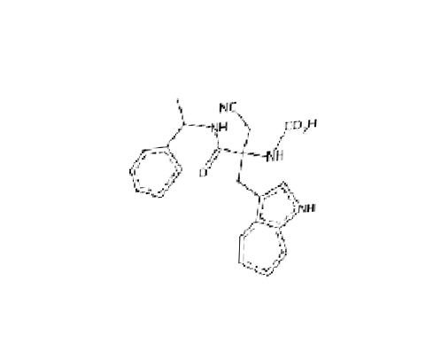 CC(NC(=O)C(CC#N)(Cc1c[nH]c2ccccc12)NC(=O)O)c1ccccc1